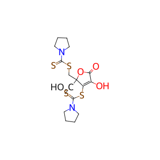 O=C1OC(CSC(=S)N2CCCC2)(C(=O)O)C(SC(=S)N2CCCC2)=C1O